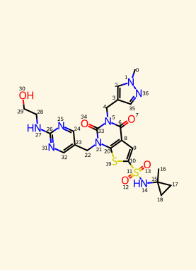 Cn1cc(Cn2c(=O)c3cc(S(=O)(=O)NC4(C)CC4)sc3n(Cc3cnc(NCCO)nc3)c2=O)cn1